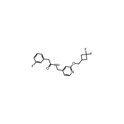 O=C(Cc1cccc(F)c1)NCc1ccnc(OCC2CC(F)(F)C2)c1